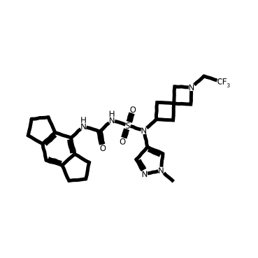 Cn1cc(N(C2CC3(C2)CN(CC(F)(F)F)C3)S(=O)(=O)NC(=O)Nc2c3c(cc4c2CCC4)CCC3)cn1